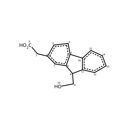 O=C(O)Cc1ccc2c(c1)C(CO)c1ccccc1-2